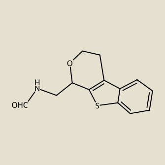 O=CNCC1OCCc2c1sc1ccccc21